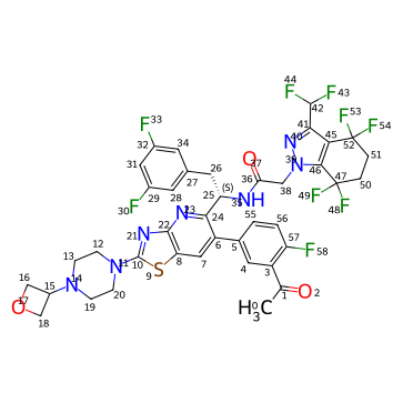 CC(=O)c1cc(-c2cc3sc(N4CCN(C5COC5)CC4)nc3nc2[C@H](Cc2cc(F)cc(F)c2)NC(=O)Cn2nc(C(F)F)c3c2C(F)(F)CCC3(F)F)ccc1F